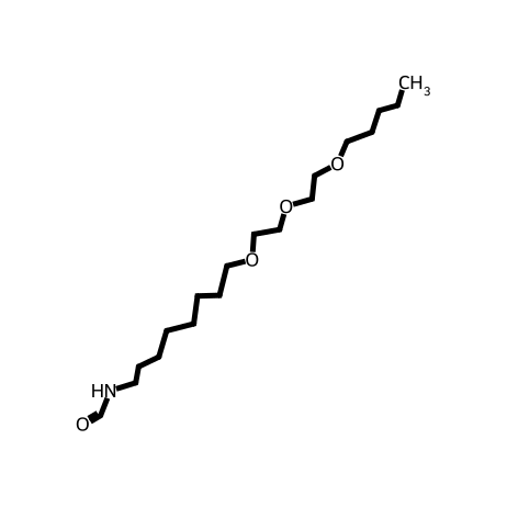 CCCCCOCCOCCOCCCCCCCCNC=O